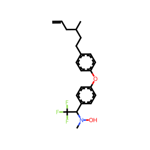 C=CCC(C)CCc1ccc(Oc2ccc(C(N(C)O)C(F)(F)F)cc2)cc1